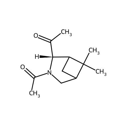 CC(=O)[C@@H]1C2CC(CN1C(C)=O)C2(C)C